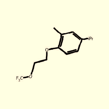 Cc1cc(C(C)C)ccc1OCCOC(F)(F)F